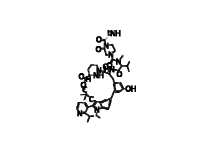 CCn1c(-c2cccnc2C(C)C)c2c3cc(ccc31)-c1cc(O)cc(c1)C[C@H](NC(=O)[C@H](C(C)C)N(C)C(=O)N1CCN(C(=O)[C@@H]3CN3)C(=O)C1)C(=O)N1CCC[C@H](N1)C(=O)OCC(C)(C)C2